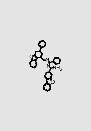 N/C(=N\C(=N/CC1=CC(c2ccccc2)Cc2oc3ccccc3c21)C1=CCCC=C1)c1ccc2c(c1)oc1ccccc12